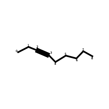 C[CH]C#CCCCCC